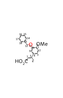 COc1ccc(/C(C)=C/C(=O)O)cc1OCc1ccccc1